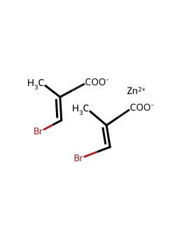 CC(=CBr)C(=O)[O-].CC(=CBr)C(=O)[O-].[Zn+2]